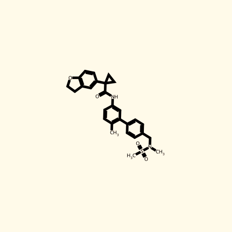 Cc1ccc(NC(=O)C2(c3ccc4c(c3)CCO4)CC2)cc1-c1ccc(CN(C)S(C)(=O)=O)cc1